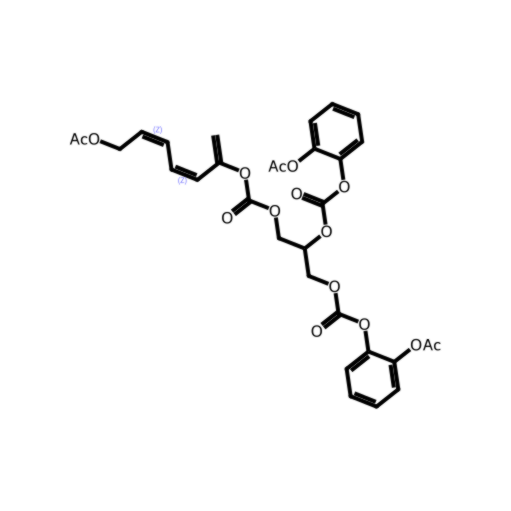 C=C(/C=C\C=C/COC(C)=O)OC(=O)OCC(COC(=O)Oc1ccccc1OC(C)=O)OC(=O)Oc1ccccc1OC(C)=O